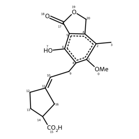 COc1c(C)c2c(c(O)c1C/C=C1/CCC(C(=O)O)C1)C(=O)OC2